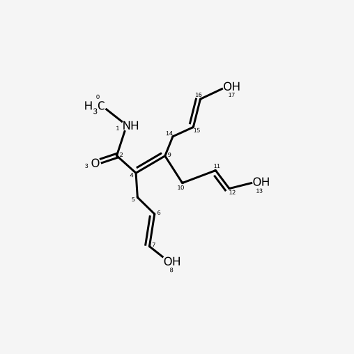 CNC(=O)C(CC=CO)=C(CC=CO)CC=CO